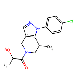 CC1CN(C(=O)C(O)C(F)(F)F)Cc2cnn(-c3ccc(Cl)cc3)c21